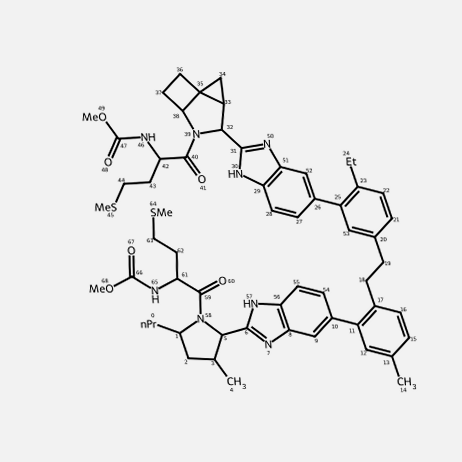 CCCC1CC(C)C(c2nc3cc(-c4cc(C)ccc4CCc4ccc(CC)c(-c5ccc6[nH]c(C7C8CC89CCC9N7C(=O)C(CCSC)NC(=O)OC)nc6c5)c4)ccc3[nH]2)N1C(=O)C(CCSC)NC(=O)OC